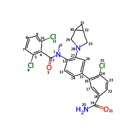 CN(C(=O)c1c(Cl)cccc1Cl)c1ccc(-c2cc(C(N)=O)ccc2Cl)cc1N1CC2CC2C1